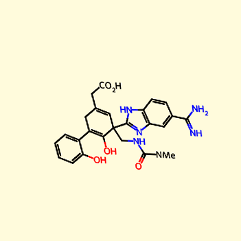 CNC(=O)NCC1(c2nc3cc(C(=N)N)ccc3[nH]2)C=C(CC(=O)O)CC(c2ccccc2O)=C1O